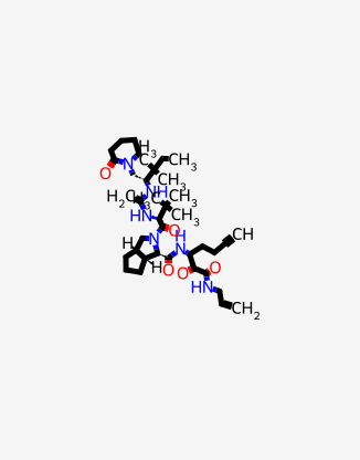 C#CCCC(NC(=O)[C@@H]1[C@H]2CCC[C@H]2CN1C(=O)[C@@H](NC(=C)N[C@H](CN1CCCCC1=O)C(C)(C)CC)C(C)(C)C)C(=O)C(=O)NCC=C